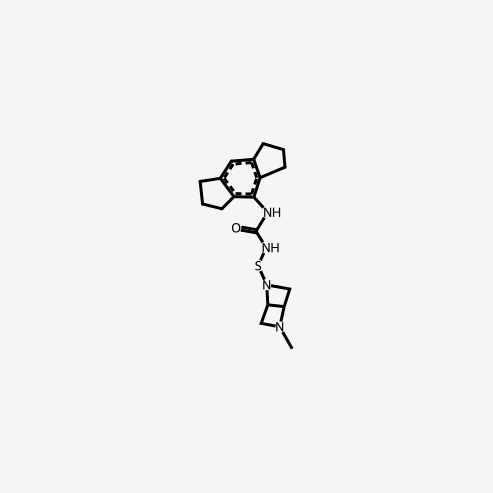 CN1CC2C1CN2SNC(=O)Nc1c2c(cc3c1CCC3)CCC2